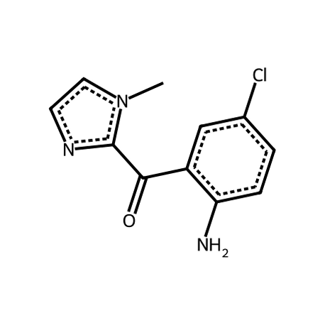 Cn1ccnc1C(=O)c1cc(Cl)ccc1N